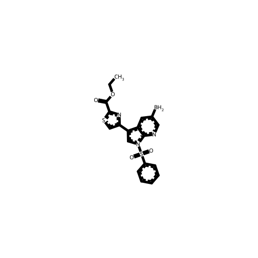 Bc1cnc2c(c1)c(-c1csc(C(=O)OCC)n1)cn2S(=O)(=O)c1ccccc1